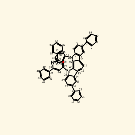 c1ccc(-c2ccc3c(c2)c2ccc4c5cc(-c6ccccc6)ccc5n(-c5cc(-c6ccccc6)nc(-c6ccccc6)c5)c4c2n3-c2ccccc2)cc1